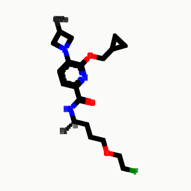 CC[C@@H](CCCOCCF)NC(=O)c1ccc(N2CC(OC)C2)c(OCC2CC2)n1